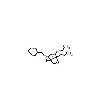 CCCC12OC[C@@H](O1)[C@@H](OCC1CCCCC1)C[C@H]2OCC